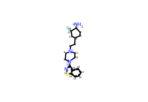 NC1CCC(CCN2CCN(c3nsc4ccccc34)CC2)CC1F